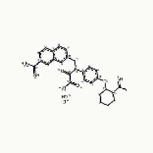 CC(=N)N1CCCCC1Oc1ccc(N(Cc2ccc3ccc(C(=N)N)cc3c2)C(=O)C(N)=O)cc1.Cl.Cl